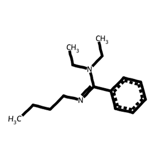 CCCCN=C(c1ccccc1)N(CC)CC